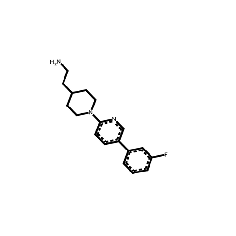 NCCC1CCN(c2ccc(-c3cccc(F)c3)cn2)CC1